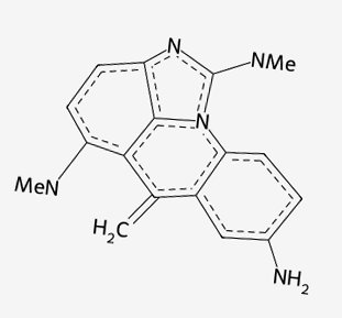 C=c1c2cc(N)ccc2n2c(NC)nc3ccc(NC)c1c32